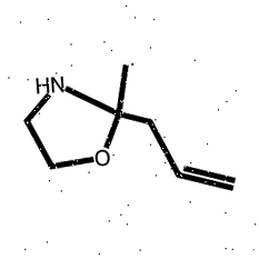 [CH2]C1(CC=C)NCCO1